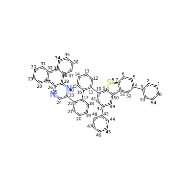 c1ccc(-c2ccc3sc4c(-c5ccccc5-c5ccccc5-c5cnc6c7ccccc7c7ccccc7c6n5)cc(-c5ccccc5)cc4c3c2)cc1